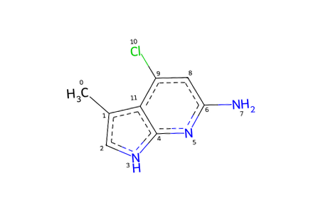 Cc1c[nH]c2nc(N)cc(Cl)c12